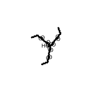 CCCCC/C=C\CCOC(=O)CCCCCC(=O)OCC(CO)(COC(=O)CCCCCC(=O)OCC/C=C\CCCCC)COC(=O)CCCCCC(=O)OCC/C=C\CCCCC